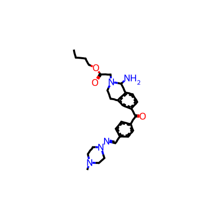 CCCCOC(=O)CN1CCc2cc(C(=O)c3ccc(C=NN4CCN(C)CC4)cc3)ccc2C1N